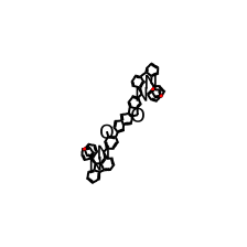 c1ccc(N(c2ccc3c(c2)oc2cc4cc5c(cc4cc23)oc2cc(N(c3ccccc3)c3cccc4c6ccccc6n(-c6ccccc6)c34)ccc25)c2cccc3c4ccccc4n(-c4ccccc4)c23)cc1